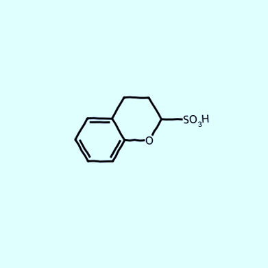 O=S(=O)(O)C1CCc2ccccc2O1